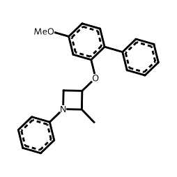 COc1ccc(-c2ccccc2)c(OC2CN(c3ccccc3)C2C)c1